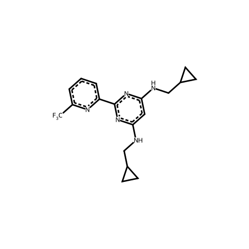 FC(F)(F)c1cccc(-c2nc(NCC3CC3)cc(NCC3CC3)n2)n1